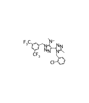 Cc1nnc(-c2nnn(Cc3cc(C(F)(F)F)cc(C(F)(F)F)c3)c2N(C)C)n1Cc1ccccc1Cl